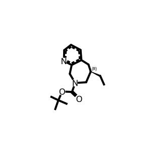 CC[C@@H]1Cc2cccnc2CN(C(=O)OC(C)(C)C)C1